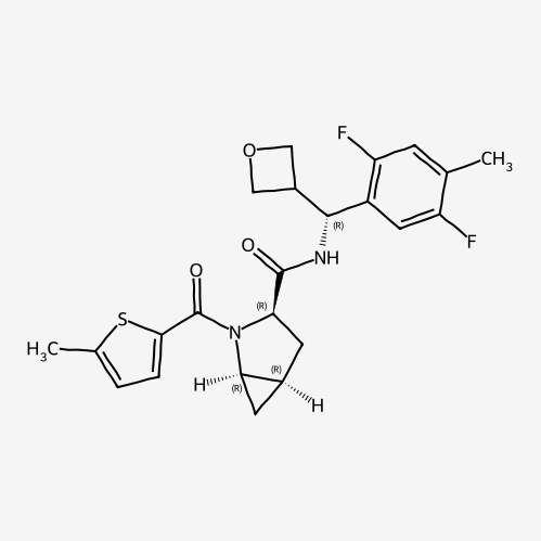 Cc1ccc(C(=O)N2[C@@H](C(=O)N[C@@H](c3cc(F)c(C)cc3F)C3COC3)C[C@H]3C[C@H]32)s1